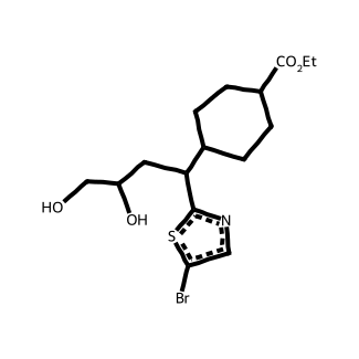 CCOC(=O)C1CCC(C(CC(O)CO)c2ncc(Br)s2)CC1